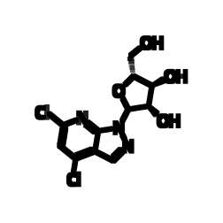 OC[C@H]1OC(n2ncc3c(Cl)cc(Cl)nc32)[C@H](O)[C@@H]1O